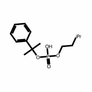 CC(C)CCOP(=O)(O)OC(C)(C)c1ccccc1